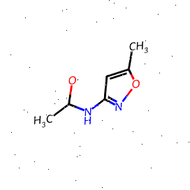 Cc1cc(NC(C)[O])no1